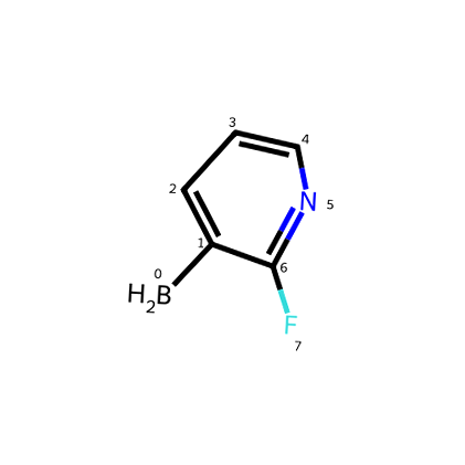 Bc1cccnc1F